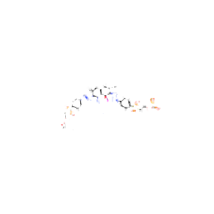 Nc1c(/N=N/c2ccc(S(=O)(=O)CCOS(=O)(=O)O)cc2)c(S(=O)(=O)O)cc2c1C(=O)/C(=N\Nc1ccc(S(=O)(=O)CCO[SH](=O)=O)cc1)C(S(=O)(=O)O)=C2